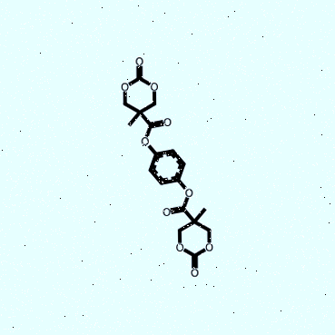 CC1(C(=O)Oc2ccc(OC(=O)C3(C)COC(=O)OC3)cc2)COC(=O)OC1